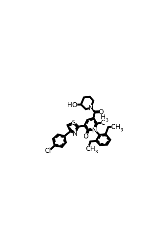 CCc1cccc(CC)c1-n1c(C)c(C(=O)N2CCCC(O)C2)cc(-c2nc(-c3ccc(Cl)cc3)cs2)c1=O